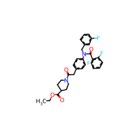 CCOC(=O)C1CCN(C(=O)Cc2ccc(N(Cc3cccc(F)c3)C(=O)c3c(F)cccc3F)cc2)CC1